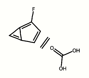 C=C.Fc1ccc2cc1-2.O=C(O)O